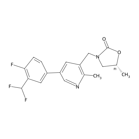 Cc1ncc(-c2ccc(F)c(C(F)F)c2)cc1CN1C[C@@H](C)OC1=O